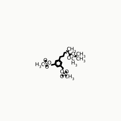 CN(CCCc1cc(COS(C)(=O)=O)cc(COS(C)(=O)=O)c1)C(=O)OC(C)(C)C